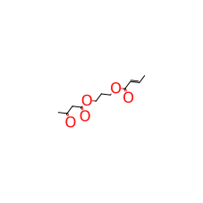 CC=CC(=O)OCCCOC(=O)CC(C)=O